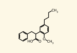 CCCCc1ccc(OC)c(C(Cc2ccccc2)C(=O)O)c1